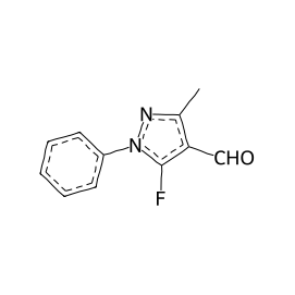 Cc1nn(-c2ccccc2)c(F)c1C=O